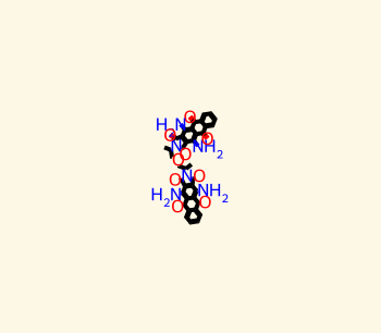 CC(COCC(C)n1c(=O)c2c(N)c3c(=O)c4ccccc4c(=O)c3c(N)c2c1=O)n1c(=O)c2c(N)c3c(=O)c4ccccc4c(=O)c3c(N)c2c1=O